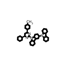 Cc1ccc(-c2cc(-c3ccccc3)nc(-n3c4ccccc4c4cc(-n5c6ccccc6c6ccccc65)ccc43)n2)cc1